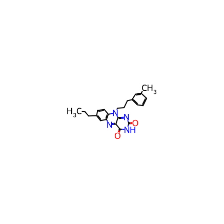 CCCc1ccc2c(c1)nc1c(=O)[nH]c(=O)nc-1n2CCCc1cccc(C)c1